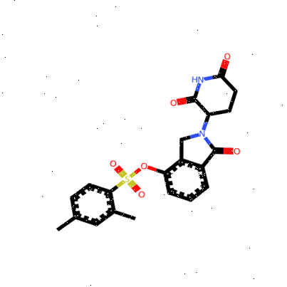 Cc1ccc(S(=O)(=O)Oc2cccc3c2CN(C2CCC(=O)NC2=O)C3=O)c(C)c1